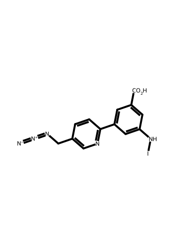 [N-]=[N+]=NCc1ccc(-c2cc(NI)cc(C(=O)O)c2)nc1